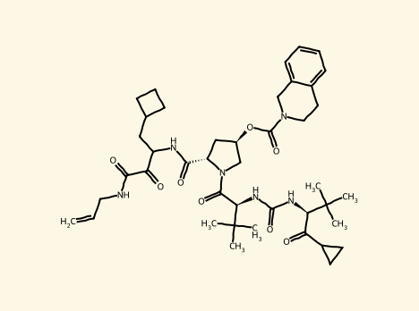 C=CCNC(=O)C(=O)C(CC1CCC1)NC(=O)[C@@H]1C[C@@H](OC(=O)N2CCc3ccccc3C2)CN1C(=O)[C@@H](NC(=O)N[C@H](C(=O)C1CC1)C(C)(C)C)C(C)(C)C